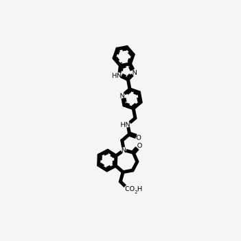 O=C(O)CC1CCC(=O)N(CC(=O)NCc2ccc(-c3nc4ccccc4[nH]3)nc2)c2ccccc21